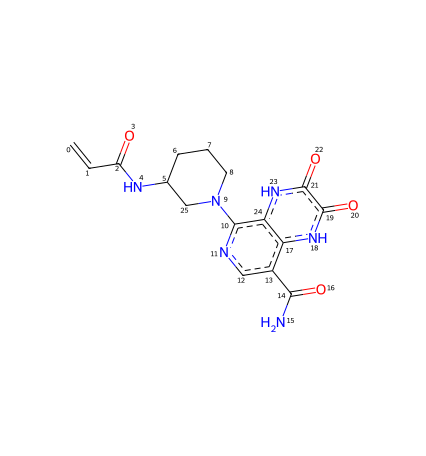 C=CC(=O)NC1CCCN(c2ncc(C(N)=O)c3[nH]c(=O)c(=O)[nH]c23)C1